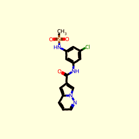 CS(=O)(=O)Nc1cc(Cl)cc(NC(=O)c2cc3cccnn3c2)c1